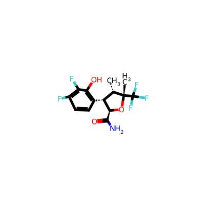 C[C@H]1[C@@H](c2ccc(F)c(F)c2O)[C@H](C(N)=O)O[C@@]1(C)C(F)(F)F